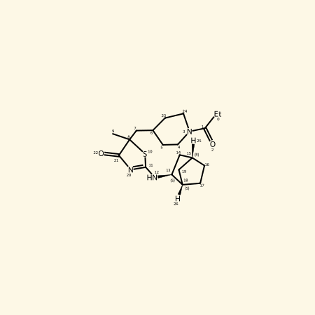 CCC(=O)N1CCC(CC2(C)SC(N[C@H]3C[C@@H]4CC[C@H]3C4)=NC2=O)CC1